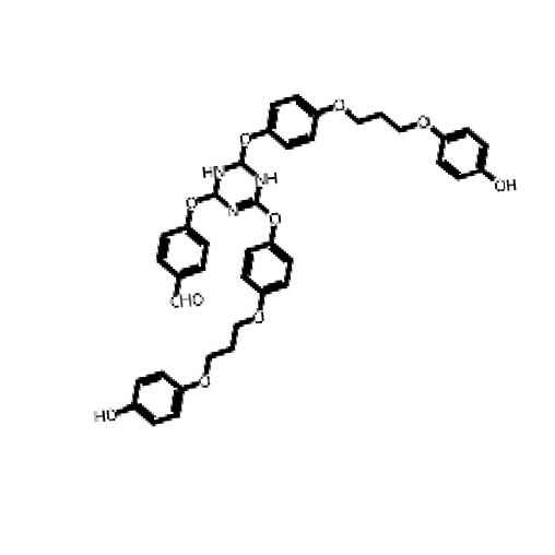 O=Cc1ccc(OC2N=C(Oc3ccc(OCCCOc4ccc(O)cc4)cc3)NC(Oc3ccc(OCCCOc4ccc(O)cc4)cc3)N2)cc1